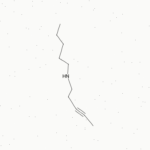 CC#CCCNCCCCC